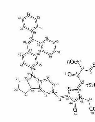 CCCCCCCCC(C=S)C(=O)/C(S)=c1\s/c(=C\c2ccc3c(c2)C2CCCC2N3c2ccc(C=C(c3ccccc3)c3ccccc3)cc2)c(=O)n1CC(=O)O